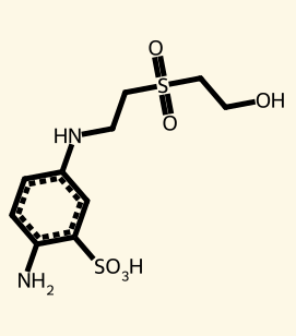 Nc1ccc(NCCS(=O)(=O)CCO)cc1S(=O)(=O)O